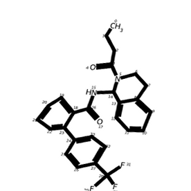 CCCC(=O)N1CCc2ccccc2C1NC(=O)c1ccccc1-c1ccc(C(F)(F)F)cc1